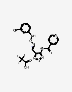 O=C(Nc1nonc1/C=N/ONc1cccc(Cl)c1)c1ccncc1.O=C(O)C(F)(F)F